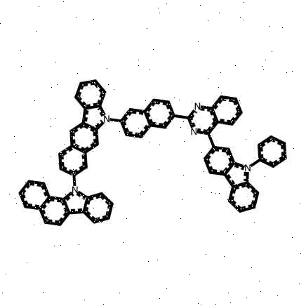 c1ccc(-n2c3ccccc3c3ccc(-c4nc(-c5ccc6cc(-n7c8ccccc8c8cc9ccc(-n%10c%11ccccc%11c%11ccc%12ccccc%12c%11%10)cc9cc87)ccc6c5)nc5ccccc45)cc32)cc1